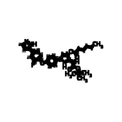 CCCCCC(=O)OC1=CN(c2ccc(Oc3ncc(-c4ccn[nH]4)cc3F)cc2)NN1NC(=O)OC(C)(C)C